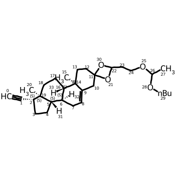 C#C[C@H]1CC[C@H]2[C@@H]3CC=C4CC5(CC[C@]4(C)[C@H]3CC[C@]12C)OC(CCOC(C)OCCCC)O5